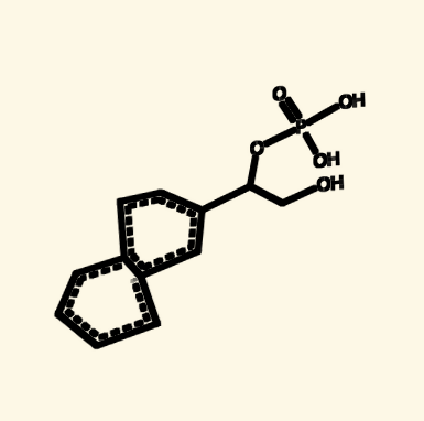 O=P(O)(O)OC(CO)c1ccc2ccccc2c1